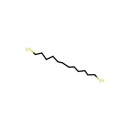 SCCCCCCCCCCCCS